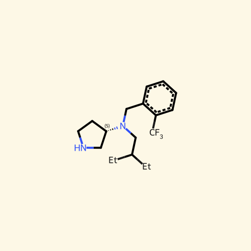 CCC(CC)CN(Cc1ccccc1C(F)(F)F)[C@H]1CCNC1